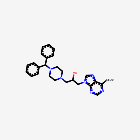 CC(=O)Nc1ncnc2c1ncn2CC(O)CN1CCN(C(c2ccccc2)c2ccccc2)CC1